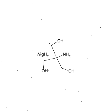 NC(CO)(CO)CO.[MgH2]